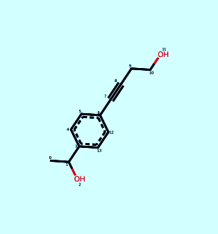 CC(O)c1ccc(C#CCCO)cc1